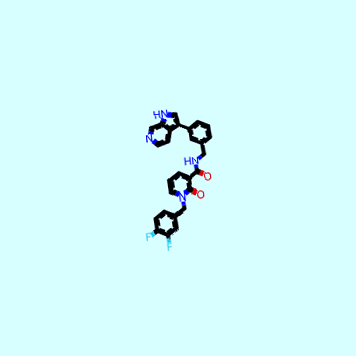 O=C(NCc1cccc(-c2c[nH]c3cnccc23)c1)c1cccn(Cc2ccc(F)c(F)c2)c1=O